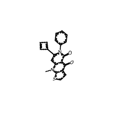 Cn1c2cc(C3=CC=C3)n(-c3ccccc3)c(=O)c2c(=O)c2ccsc21